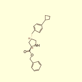 O=C(OCc1ccccc1)[C@H]1C[C@H](Cc2ccc(C3CCC3)cc2)CN1